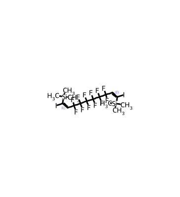 C[Si](C)(C)/C(I)=C\C(F)(F)C(F)(F)C(F)(F)C(F)(F)C(F)(F)C(F)(F)/C=C(/I)[Si](C)(C)C